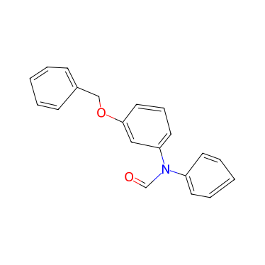 O=CN(c1ccccc1)c1cccc(OCc2ccccc2)c1